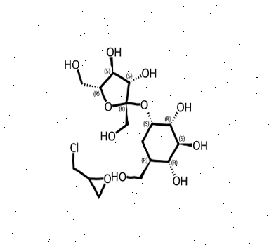 ClCC1CO1.OC[C@H]1C[C@H](O[C@]2(CO)O[C@H](CO)[C@@H](O)[C@@H]2O)[C@H](O)[C@@H](O)[C@@H]1O